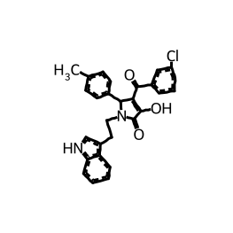 Cc1ccc(C2C(C(=O)c3cccc(Cl)c3)=C(O)C(=O)N2CCc2c[nH]c3ccccc23)cc1